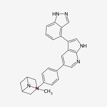 CN1CC2CC(C1)N2Cc1ccc(-c2cnc3[nH]cc(-c4cccc5[nH]ncc45)c3c2)cc1